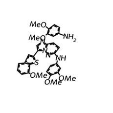 COc1ccc(N)cc1OC.COc1ccc(Nc2ccc3ncc(-c4cc5cccc(OC)c5s4)n3n2)cc1OC